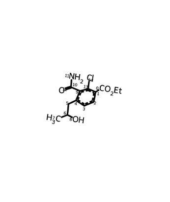 CCOC(=O)c1ccc(CC(C)O)c(C(N)=O)c1Cl